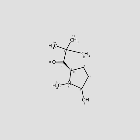 CN1C(O)CC[C@@H]1C(=O)C(C)(C)C